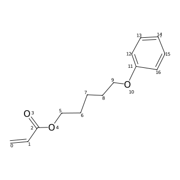 C=CC(=O)OCCCCCOc1cc[c]cc1